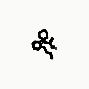 CC(=O)NC1(c2ccccc2CCC=O)CCCCC1